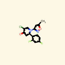 Cc1cc(-n2cc(Cl)c(=O)cc2-c2c(F)cc(F)cc2F)no1